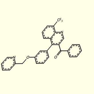 O=C(c1ccccc1)c1cnc2c(C(F)(F)F)cccc2c1-c1cccc(OCc2ccccn2)c1